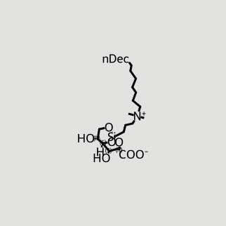 CCCCCCCCCCCCCCCCC[N+](C)(C)CCC[Si]12OC[C@@H](O)[C@H](O1)[C@H](O)[C@H](C(=O)[O-])O2